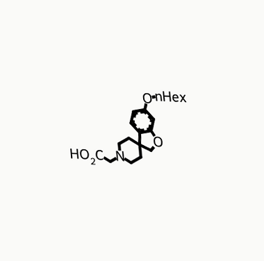 CCCCCCOc1ccc2c(c1)OCC21CCN(CC(=O)O)CC1